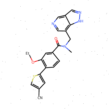 CCOc1cc(C(=O)N(C)Cc2cncc3cn[nH]c23)ccc1-c1cc(C#N)cs1